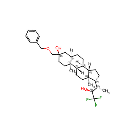 C[C@@H]([C@H]1CC[C@H]2[C@@H]3CC[C@@H]4C[C@@](O)(COCc5ccccc5)CC[C@]4(C)[C@H]3CC[C@]12C)[C@H](O)C(F)(F)F